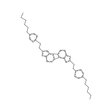 CCCCCCc1ccc(CCc2cc3c4c(ccc3s2)-c2c-4ccc3sc(CCc4ccc(CCCCCC)cc4)cc23)cc1